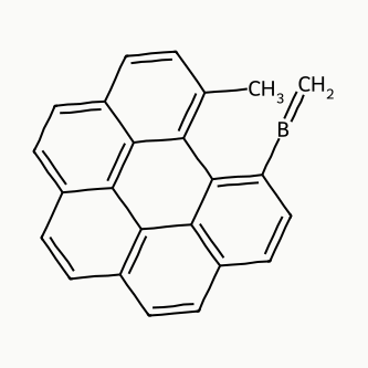 C=Bc1ccc2ccc3ccc4ccc5ccc(C)c6c1c2c3c4c56